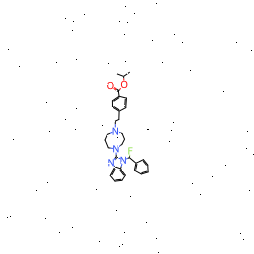 CC(C)OC(=O)c1ccc(CCN2CCCN(c3nc4ccccc4n3C(F)c3ccccc3)CCC2)cc1